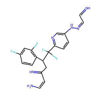 N=C/C=N\Nc1ccc(C(F)(F)C(CC(=N)/C=C\N)c2ccc(F)cc2F)nc1